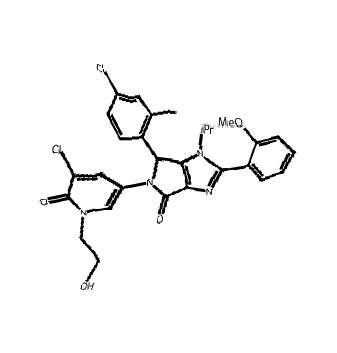 COc1ccccc1-c1nc2c(n1C(C)C)C(c1ccc(Cl)cc1C)N(c1cc(Cl)c(=O)n(CCO)c1)C2=O